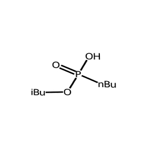 CCCCP(=O)(O)OC(C)CC